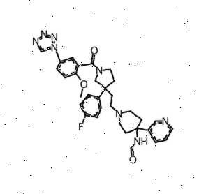 COc1ccc(-n2cnnn2)cc1C(=O)N1CCC(CCN2CCC(NC=O)(c3cccnc3)CC2)(c2ccc(F)cc2)C1